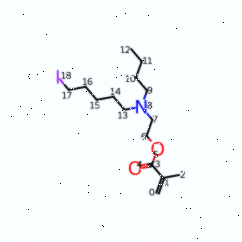 C=C(C)C(=O)OCCN(CCCC)CCCCCI